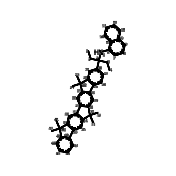 CCC(CC)(Nc1cccc2ccccc12)c1ccc2c(c1)C(C)(C)c1cc3c(cc1-2)C(C)(C)c1cc2c(cc1-3)C(C)(C)c1ccccc1-2